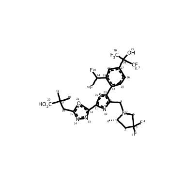 C[C@H]1CC(F)(F)CN1Cc1nc(-c2nnc(CC(C)(C)C(=O)O)o2)sc1-c1ccc(C(O)(C(F)(F)F)C(F)(F)F)cc1C(F)F